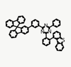 c1ccc(-c2nc(-c3cccc(-c4ccc5c(c4)C4(c6ccccc6-c6ccccc64)c4ccccc4-5)c3)nc(-c3ccccc3-c3cccc4sc5ccccc5c34)n2)cc1